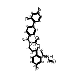 C[C@@H](c1ccc(-c2ccc(F)cc2F)cc1)N1CC[C@](CCNC=O)(c2ccc(F)cc2)OC1=O